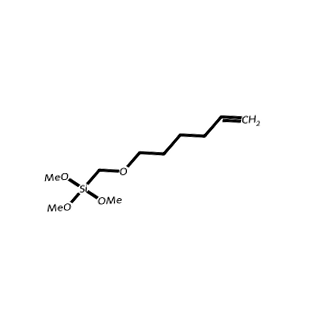 C=CCCCCOC[Si](OC)(OC)OC